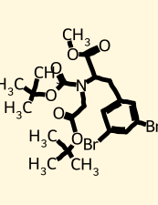 COC(=O)C(Cc1cc(Br)cc(Br)c1)N(CC(=O)OC(C)(C)C)C(=O)OC(C)(C)C